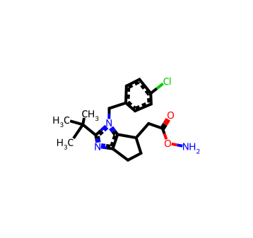 CC(C)(C)c1nc2c(n1Cc1ccc(Cl)cc1)C(CC(=O)ON)CC2